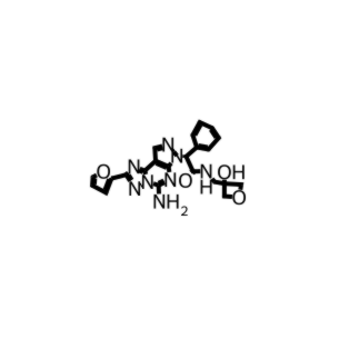 Nc1nc2c(cnn2[C@H](C(=O)NCC2(O)COC2)c2ccccc2)c2nc(-c3ccco3)nn12